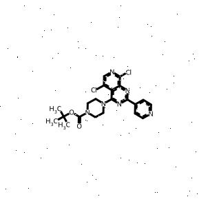 CC(C)(C)OC(=O)N1CCN(c2nc(-c3ccncc3)nc3c(Cl)ncc(Cl)c23)CC1